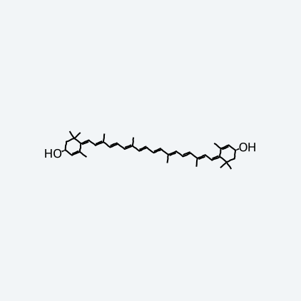 CC1=C[C@@H](O)CC(C)(C)/C1=C/C=C(C)/C=C/C=C(C)/C=C/C=C/C(C)=C/C=C/C(C)=C/C=C1\C(C)=C[C@@H](O)CC1(C)C